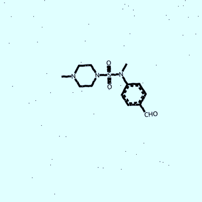 CN1CCN(S(=O)(=O)N(C)c2ccc(C=O)cc2)CC1